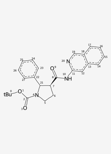 CC(C)(C)OC(=O)N1CC[C@H](C(=O)Nc2cc3ccccc3cn2)C1c1ccccc1